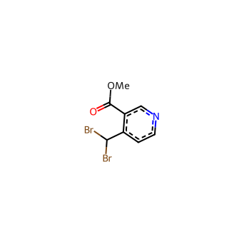 COC(=O)c1cnccc1C(Br)Br